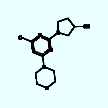 OC1CCN(c2nc(Cl)cc(N3CCOCC3)n2)C1